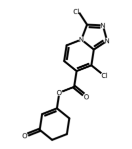 O=C1C=C(OC(=O)c2ccn3c(Cl)nnc3c2Cl)CCC1